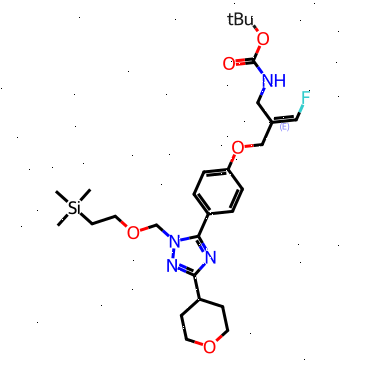 CC(C)(C)OC(=O)NC/C(=C\F)COc1ccc(-c2nc(C3CCOCC3)nn2COCC[Si](C)(C)C)cc1